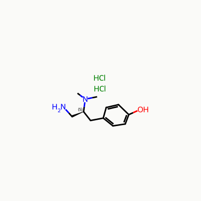 CN(C)[C@H](CN)Cc1ccc(O)cc1.Cl.Cl